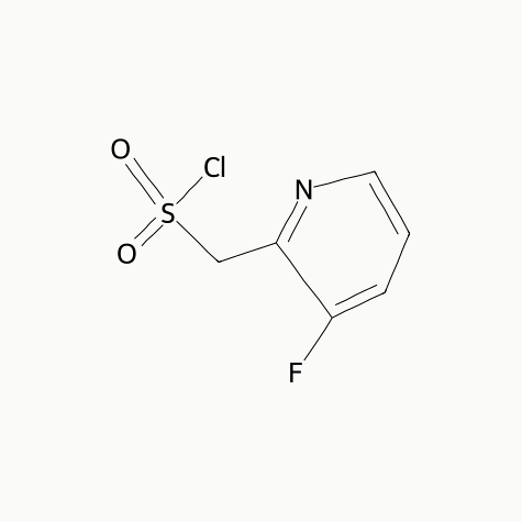 O=S(=O)(Cl)Cc1ncccc1F